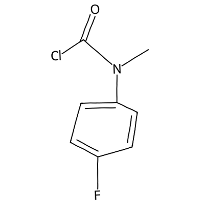 CN(C(=O)Cl)c1ccc(F)cc1